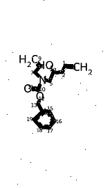 C=CCC(O)CN(CC=C)C(=O)OCc1ccccc1